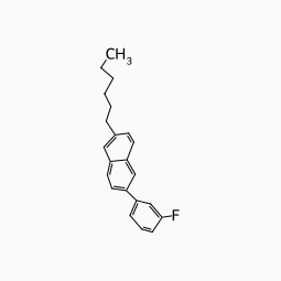 CCCCCCc1ccc2cc(-c3cccc(F)c3)ccc2c1